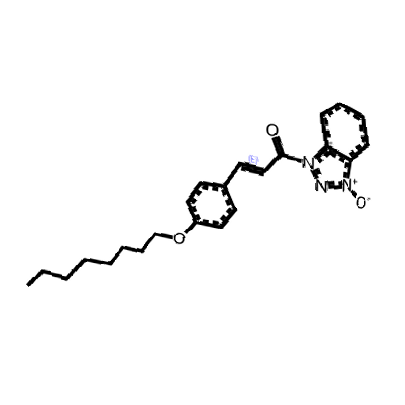 CCCCCCCCOc1ccc(/C=C/C(=O)n2n[n+]([O-])c3ccccc32)cc1